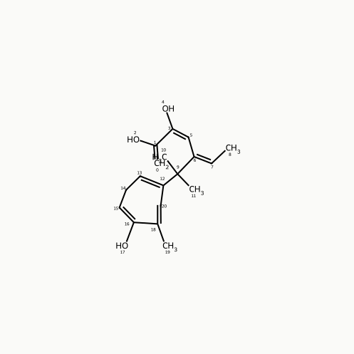 C=C(O)/C(O)=C\C(=C/C)C(C)(C)C1=CCC=C(O)C(C)=C1